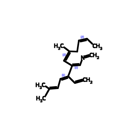 C=CC(=C\C=C(C)C)/C(/C=C(/C)C/C=C\C)=C/N=C